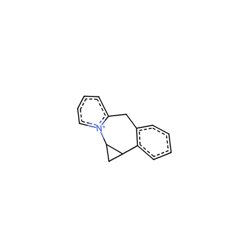 c1ccc2c(c1)Cc1cccc[n+]1C1CC21